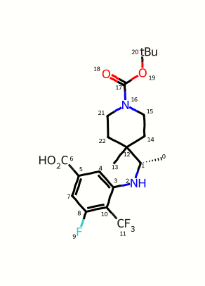 C[C@H](Nc1cc(C(=O)O)cc(F)c1C(F)(F)F)C1(C)CCN(C(=O)OC(C)(C)C)CC1